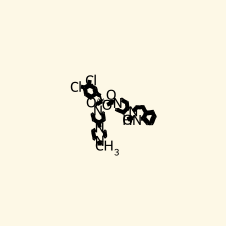 CN1CCN(C2CCN(C(=O)[C@@H](Cc3ccc(Cl)c(Cl)c3)OC(=O)N3CCC(N4CCc5ccccc5NC4=O)CC3)CC2)CC1